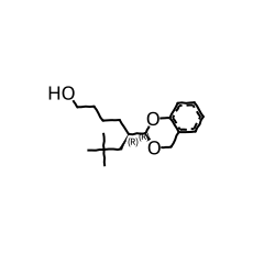 CC(C)(C)C[C@@H](CCCCO)[C@@H]1OCc2ccccc2O1